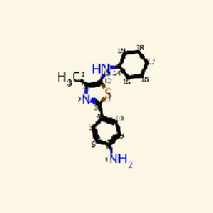 Cc1nc(-c2ccc(N)cc2)sc1NC1CCCCC1